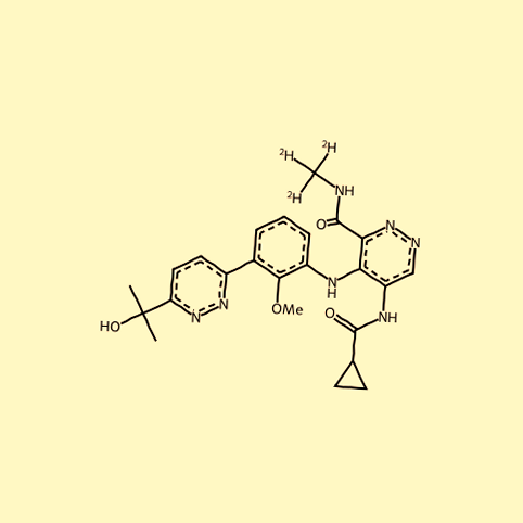 [2H]C([2H])([2H])NC(=O)c1nncc(NC(=O)C2CC2)c1Nc1cccc(-c2ccc(C(C)(C)O)nn2)c1OC